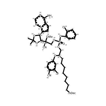 CCCCCCCCCCCCCCCCCC[C@H](COP(=O)(OC[C@@](C#N)(OC)[C@H]1OC(C)(C)O[C@H]1c1ccc2c(N)ncnn12)Oc1ccccc1Cl)Oc1ccc(C#N)c(F)c1